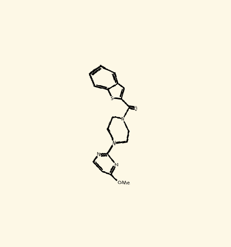 COc1ccnc(N2CCN(C(=O)c3cc4ccccc4s3)CC2)n1